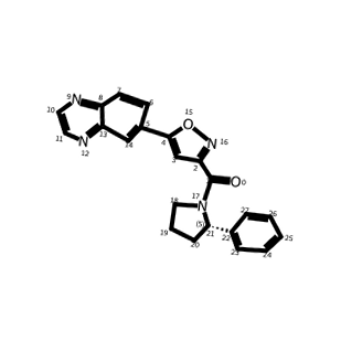 O=C(c1cc(-c2ccc3nccnc3c2)on1)N1CCC[C@H]1c1ccccc1